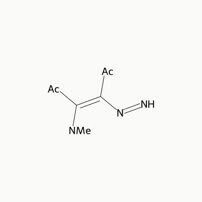 CN/C(C(C)=O)=C(\N=N)C(C)=O